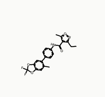 CCc1noc(C)c1C(=O)Nc1ccc(-c2cc3c(cc2C)OC(F)(F)O3)cc1